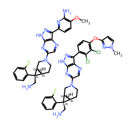 COc1ccc(-c2n[nH]c3nc(N4CC[C@@H]5[C@H](C4)[C@@]5(CN)c4ccccc4F)cnc23)nc1N.Cn1ccc(Oc2ccc(-c3n[nH]c4nc(N5CC[C@@H]6[C@H](C5)[C@@]6(CN)c5ccccc5F)cnc34)c(Cl)c2Cl)n1